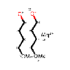 COCCCC[O-].COCCCC[O-].[Mg+2]